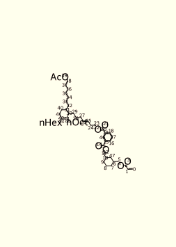 C=CC(=O)OCC1CCCC(COC(=O)c2cccc(C(=O)OCCCCCCCC3C(CCCCCCCOC(C)=O)CCC(CCCCCC)C3CCCCCCCC)c2)C1